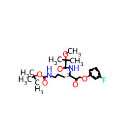 COC(C)(C)C(=O)N[C@@H](CCCNC(=O)OC(C)(C)C)C(=O)COc1cccc(F)c1